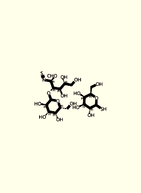 O=C[C@H](N=S)[C@@H](OC1O[C@H](CO)[C@H](O)[C@H](O)[C@H]1O)[C@H](O)[C@H](O)CO.OC[C@H]1OC(S)[C@H](O)[C@@H](O)[C@H]1O